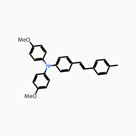 COc1ccc(N(c2ccc(C=Cc3ccc(C)cc3)cc2)c2ccc(OC)cc2)cc1